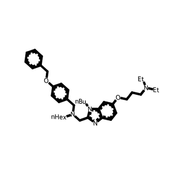 CCCCCCN(Cc1ccc(OCc2ccccc2)cc1)Cc1nc2ccc(OCCCN(CC)CC)cc2n1CCCC